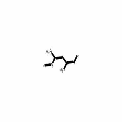 C=N/C(N)=C\C(=C/C)C(C)(C)C